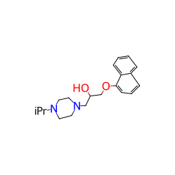 CC(C)N1CCN(CC(O)COc2cccc3ccccc23)CC1